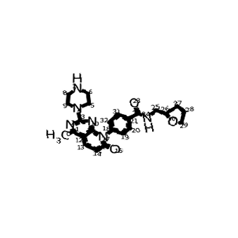 Cc1nc(N2CCNCC2)nc2c1ccc(=O)n2-c1ccc(C(=O)NCC2CCCO2)cc1